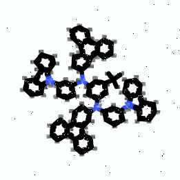 CC(C)(C)c1cc(N(c2cccc(-n3c4ccccc4c4ccccc43)c2)c2ccc3c4ccccc4c4ccccc4c3c2)cc(N(c2cccc(-n3c4ccccc4c4ccccc43)c2)c2ccc3c4ccccc4c4ccccc4c3c2)c1